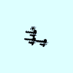 CCCCCCCCCc1cccc[c]1[Nd+][CH2]C(CC)CCCC.CCCCCCCCCc1cccc[c]1[Nd+][CH2]C(CC)CCCC.CCCCCCCCCc1cccc[c]1[Nd+][CH2]C(CC)CCCC.O=P([O-])([O-])[O-]